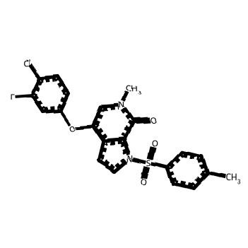 Cc1ccc(S(=O)(=O)n2ccc3c(Oc4ccc(Cl)c(F)c4)cn(C)c(=O)c32)cc1